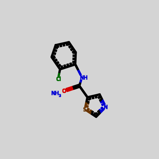 N.O=C(Nc1ccccc1Cl)c1cncs1